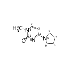 Cn1ccc(N2CCCC2)nc1=O